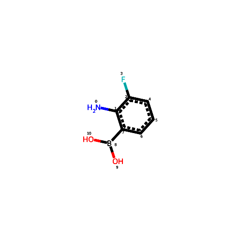 Nc1c(F)cccc1B(O)O